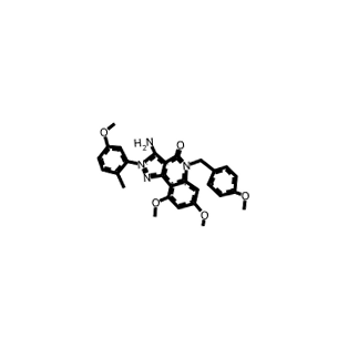 COc1ccc(Cn2c(=O)c3c(N)n(-c4cc(OC)ccc4C)nc3c3c(OC)cc(OC)cc32)cc1